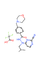 CC(C)CN(NC(=O)c1ccc(CN2CCOCC2)cc1)c1ccnc(C#N)n1.O=C(O)C(F)(F)F